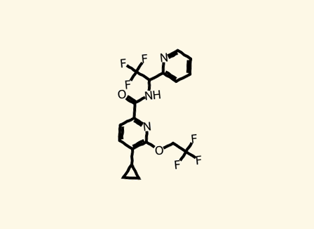 O=C(NC(c1ccccn1)C(F)(F)F)c1ccc(C2CC2)c(OCC(F)(F)F)n1